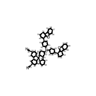 N#Cc1ccc(C2(c3ccc(C#N)cc3)c3ccccc3-c3cc(N(c4ccc(-c5cccc6c5oc5ccccc56)cc4)c4ccc(-c5cccc6c5oc5ccccc56)cc4)ccc32)cc1